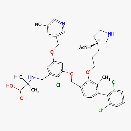 CC(=O)N[C@@]1(CCCOc2c(COc3cc(OCc4cncc(C#N)c4)cc(CNC(C)(C)C(O)O)c3Cl)ccc(-c3c(Cl)cccc3Cl)c2C)CCNC1